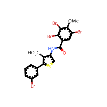 COc1c(Br)cc(C(=O)Nc2csc(-c3cccc(Br)c3)c2C(=O)O)c(Br)c1Br